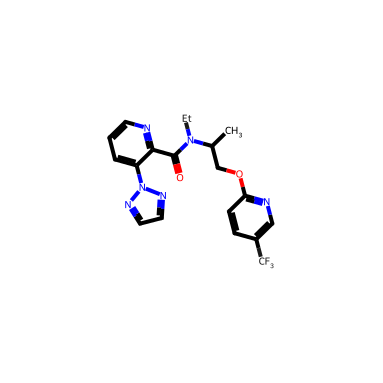 CCN(C(=O)c1ncccc1-n1nccn1)C(C)COc1ccc(C(F)(F)F)cn1